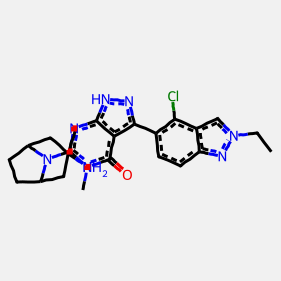 CCn1cc2c(Cl)c(-c3n[nH]c4nc(N5C6CCC5CC(C)(N)C6)n(C)c(=O)c34)ccc2n1